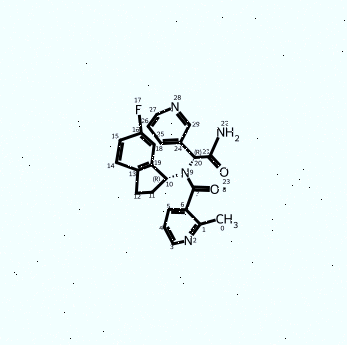 Cc1ncccc1C(=O)N([C@@H]1CCc2ccc(F)cc21)[C@@H](C(N)=O)c1cccnc1